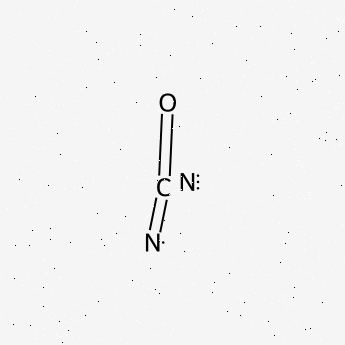 [N].[N]=C=O